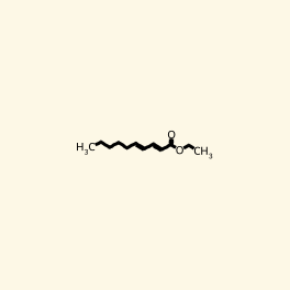 CCCCCC=CC=CC(=O)OCC